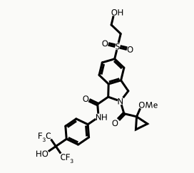 COC1(C(=O)N2Cc3cc(S(=O)(=O)CCO)ccc3C2C(=O)Nc2ccc(C(O)(C(F)(F)F)C(F)(F)F)cc2)CC1